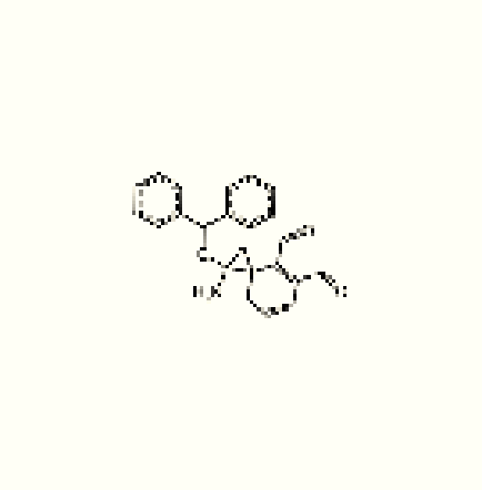 NC1(OC(c2ccccc2)c2ccccc2)CC12CC=CC(C=O)=C2C=O